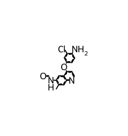 Cc1cc2nccc(Oc3ccc(N)c(Cl)c3)c2cc1NC=O